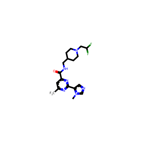 Cn1cncc1-c1nc(C(=O)NCC2CCN(CC(F)F)CC2)cc(C(F)(F)F)n1